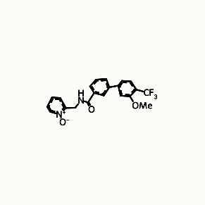 COc1cc(-c2cccc(C(=O)NCc3cccc[n+]3[O-])c2)ccc1C(F)(F)F